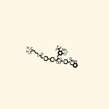 CN(C)CCCOC(=O)CN1CCC(C2CCN(C(=O)[C@@H](Cc3cc(Cl)c(N)c(C(F)(F)F)c3)OC(=O)N3CCC(N4Cc5ccccc5NC4=O)CC3)CC2)CC1